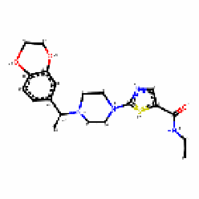 CCNC(=O)c1cnc(N2CCN([C@@H](C)c3ccc4c(c3)OCCO4)CC2)s1